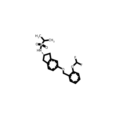 CC(C)S(=O)(=O)N[C@H]1Cc2ccc(OCc3ccccc3OC(F)F)cc2C1